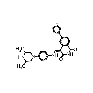 CC1CN(c2ccc(N/C=C3\C(=O)NC(=O)c4ccc(-c5ccsc5)cc43)cc2)CC(C)N1